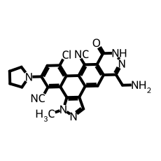 Cn1ncc2c3cc4c(CN)n[nH]c(=O)c4c(C#N)c3c3c(Cl)cc(N4CCCC4)c(C#N)c3c21